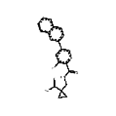 O=C(NCC1(C(=O)O)CC1)c1ncc(-c2ccc3ccccc3c2)cc1O